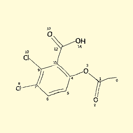 CC(=O)Oc1ccc(Cl)c(Cl)c1C(=O)O